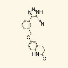 N#Cc1[nH]nnc1-c1cccc(COc2ccc3c(c2)CCC(=O)N3)c1